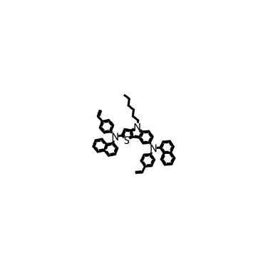 C=Cc1ccc(N(c2ccc3c(c2)c2sc(N(c4ccc(C=C)cc4)c4cccc5ccccc45)cc2n3CCCCCC)c2cccc3ccccc23)cc1